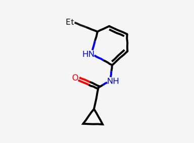 CCC1C=CC=C(NC(=O)C2CC2)N1